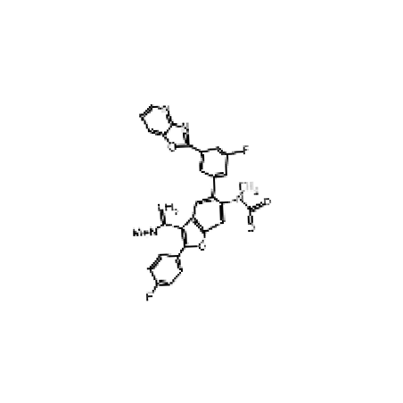 C=C(NC)c1c(-c2ccc(F)cc2)oc2cc(N(C)I(=O)=O)c(-c3cc(F)cc(-c4nc5ncccc5o4)c3)cc12